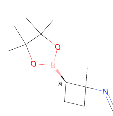 C=NC1(C)CC[C@H]1B1OC(C)(C)C(C)(C)O1